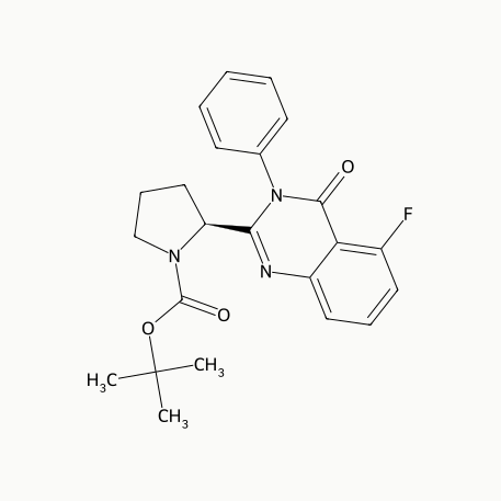 CC(C)(C)OC(=O)N1CCC[C@H]1c1nc2cccc(F)c2c(=O)n1-c1ccccc1